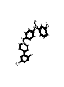 Cc1ccc(N)cc1C1CCN(Cc2ccc([S+]([O-])c3cccc(Cl)c3)cc2)CC1